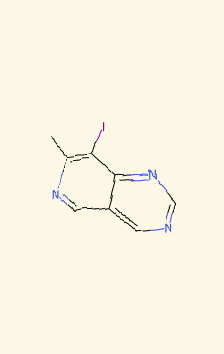 Cc1ncc2cncnc2c1I